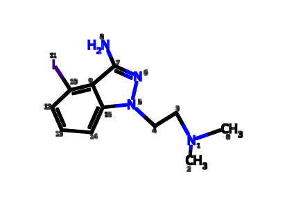 CN(C)CCn1nc(N)c2c(I)cccc21